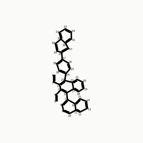 C=Cc1c(C=C)c(-c2cccc3ccccc23)c2ccccc2c1-c1ccc(-c2ccc3ccccc3c2)cc1